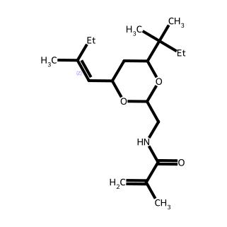 C=C(C)C(=O)NCC1OC(/C=C(/C)CC)CC(C(C)(C)CC)O1